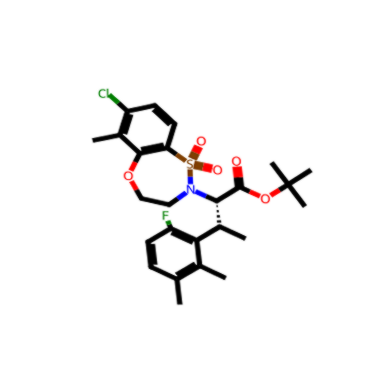 Cc1ccc(F)c(C(C)[C@@H](C(=O)OC(C)(C)C)N2CCOc3c(ccc(Cl)c3C)S2(=O)=O)c1C